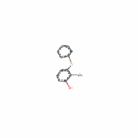 CCCCc1c(O)cccc1Sc1ccccc1